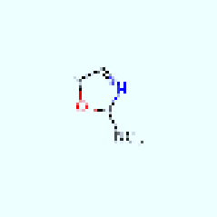 O=[N+]([O-])C1N=C[C]O1